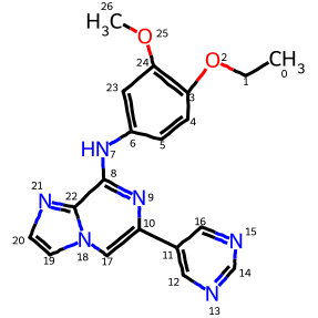 CCOc1ccc(Nc2nc(-c3cncnc3)cn3ccnc23)cc1OC